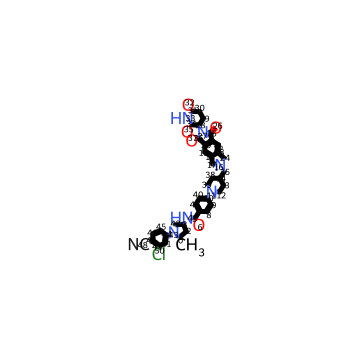 C[C@H]1C[C@@H](NC(=O)c2ccc(N3CCC(CN4Cc5cc6c(cc5C4)C(=O)N(C4CCC(=O)NC4=O)C6=O)CC3)cc2)CN1c1ccc(C#N)c(Cl)c1